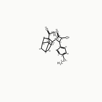 COc1ccc(C2C(Cl)C(=O)N2C2C3CC4CC(C3)CC2(C(N)=O)C4)cc1